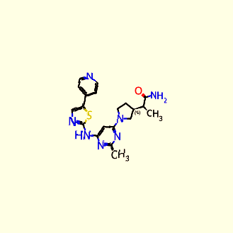 Cc1nc(Nc2ncc(-c3ccncc3)s2)cc(N2CC[C@@H](C(C)C(N)=O)C2)n1